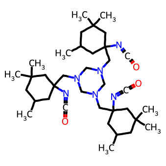 CC1CC(C)(C)CC(CN2CN(CC3(N=C=O)CC(C)CC(C)(C)C3)CN(CC3(N=C=O)CC(C)CC(C)(C)C3)C2)(N=C=O)C1